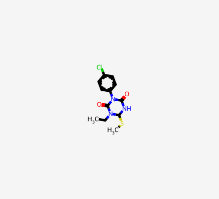 CCN1C(=O)N(c2ccc(Cl)cc2)C(=O)NC1SC